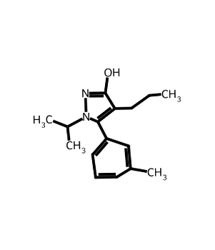 CCCc1c(O)nn(C(C)C)c1-c1cccc(C)c1